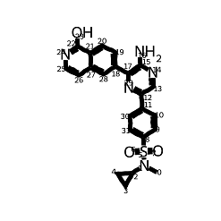 CN(C1CC1)S(=O)(=O)c1ccc(-c2cnc(N)c(-c3ccc4c(O)nccc4c3)n2)cc1